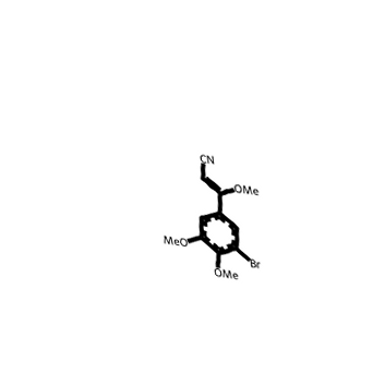 COC(=CC#N)c1cc(Br)c(OC)c(OC)c1